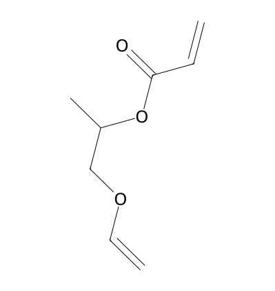 C=COCC(C)OC(=O)C=C